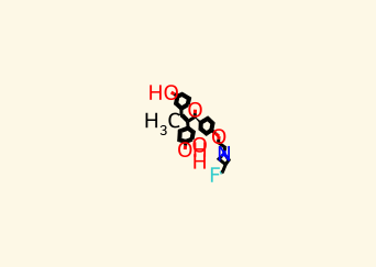 CC1=C(c2ccc(O)c(O)c2)[C@H](c2ccc(OCCN3CC(CF)C3)cc2)Oc2ccc(O)cc21